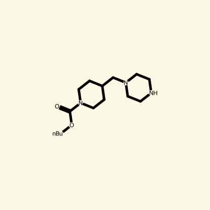 CCCCOC(=O)N1CCC(CN2CCNCC2)CC1